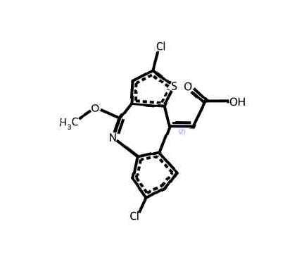 COC1=Nc2cc(Cl)ccc2/C(=C/C(=O)O)c2sc(Cl)cc21